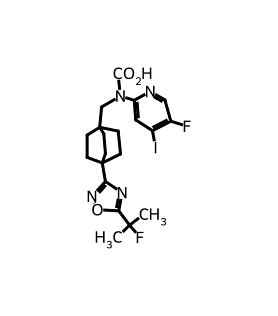 CC(C)(F)c1nc(C23CCC(CN(C(=O)O)c4cc(I)c(F)cn4)(CC2)CC3)no1